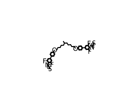 CC(CCCCCOc1ccc(-c2cc(F)c(N=C=S)c(F)c2)cc1)CCCCCOc1ccc(-c2cc(F)c(N=C=S)c(F)c2)cc1